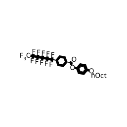 CCCCCCCCOc1ccc(OC(=O)[C@H]2CC[C@H](C(F)(F)C(F)(F)C(F)(F)C(F)(F)C(F)(F)C(F)(F)F)CC2)cc1